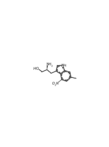 Cc1cc([N+](=O)[O-])c2c(C[C@H](N)CO)c[nH]c2c1